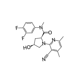 Cc1cc(C)c(C#N)c(N2C[C@@H](O)C[C@H]2C(=O)N(C)c2ccc(F)c(F)c2)n1